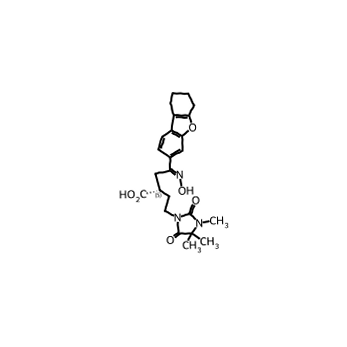 CN1C(=O)N(CC[C@@H](CC(=NO)c2ccc3c4c(oc3c2)CCCC4)C(=O)O)C(=O)C1(C)C